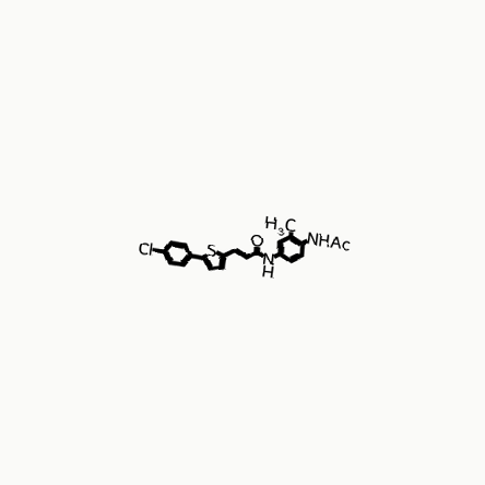 CC(=O)Nc1ccc(NC(=O)/C=C/c2ccc(-c3ccc(Cl)cc3)s2)cc1C